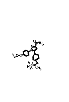 COc1ccc(-n2nc(C(N)=O)cc2-c2ccc([CH]C(C)(C)C)cc2)cc1